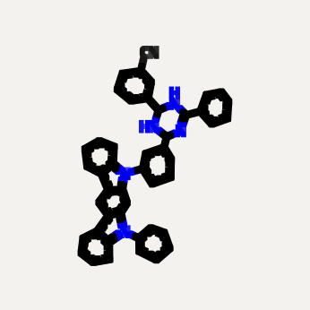 N#Cc1cccc(C2NC(c3ccccc3)=NC(c3cccc(-n4c5ccccc5c5cc6c7ccccc7n(-c7ccccc7)c6cc54)c3)N2)c1